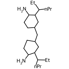 CCCC(CC)C1CC(CC2CCC(N)C(C(CC)CCC)C2)CCC1N